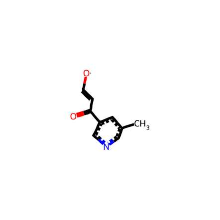 Cc1cncc(C(=O)C=C[O])c1